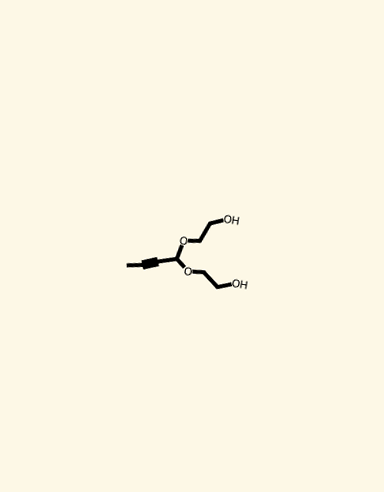 CC#CC(OCCO)OCCO